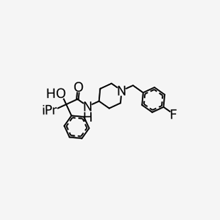 CC(C)C(O)(C(=O)NC1CCN(Cc2ccc(F)cc2)CC1)c1ccccc1